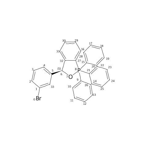 Brc1cccc([C@@H]2OP(c3ccccc3)(c3ccccc3)(c3ccccc3)c3ccccc32)c1